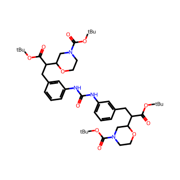 CC(C)(C)OC(=O)C(Cc1cccc(NC(=O)Nc2cccc(CC(C(=O)OC(C)(C)C)C3CN(C(=O)OC(C)(C)C)CCO3)c2)c1)C1CN(C(=O)OC(C)(C)C)CCO1